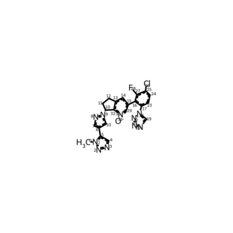 Cn1nncc1-c1cnn([C@@H]2CCc3cc(-c4c(-n5cnnn5)ccc(Cl)c4F)c[n+]([O-])c32)c1